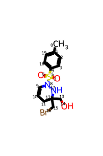 Cc1ccc(S(=O)(=O)N2C=CCC(CO)(CBr)N2)cc1